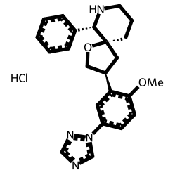 COc1ccc(-n2cncn2)cc1[C@H]1CO[C@]2(CCCN[C@H]2c2ccccc2)C1.Cl